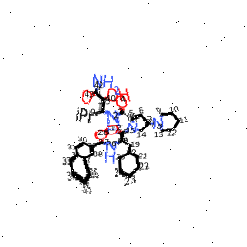 CC(C)C(NC(=O)[C@@H]1C[C@@H](N2CCCCC2)CN1C(=O)[C@@H](CC1CCCCC1)NC(=O)c1ccc2ccccc2c1)C(O)C(N)=O